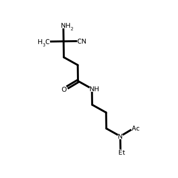 CCN(CCCNC(=O)CCC(C)(N)C#N)C(C)=O